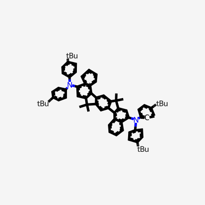 CC(C)(C)c1ccc(N(c2ccc(C(C)(C)C)cc2)c2cc3c(c4ccccc24)-c2cc4c(cc2C3(C)C)-c2c(cc(N(c3ccc(C(C)(C)C)cc3)c3ccc(C(C)(C)C)cc3)c3ccccc23)C4(C)C)cc1